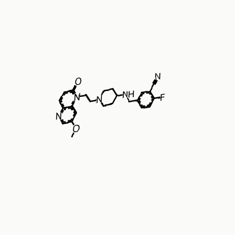 COc1cnc2ccc(=O)n(CCN3CCC(NCc4ccc(F)c(C#N)c4)CC3)c2c1